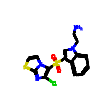 NCCn1cc(S(=O)(=O)c2c(Cl)nc3sccn23)c2ccccc21